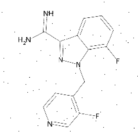 N=C(N)c1nn(Cc2ccncc2F)c2c(F)cccc12